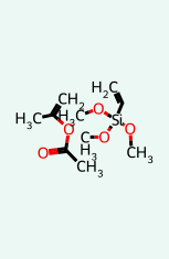 C=C(C)OC(C)=O.C=C[Si](OC)(OC)OC